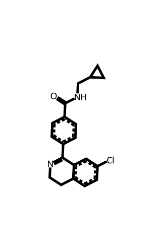 O=C(NCC1CC1)c1ccc(C2=NCCc3ccc(Cl)cc32)cc1